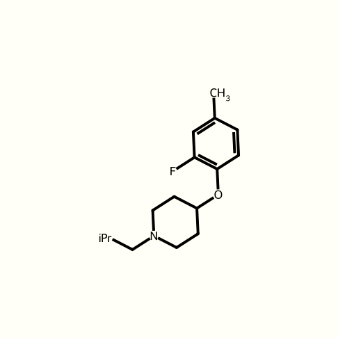 Cc1ccc(OC2CCN(CC(C)C)CC2)c(F)c1